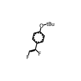 CC(C)(C)Oc1ccc(C(F)=CF)cc1